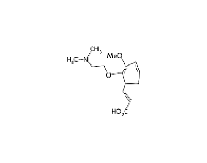 COc1cccc(/C=C/C(=O)O)c1OCCN(C)C